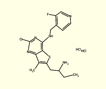 CCC(N)Cc1sc2c(NCc3ccncc3F)nc(Cl)nc2c1C.Cl.Cl